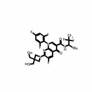 CC(C)(C)C(NC(=O)c1cn(-c2c(F)cc(F)cc2F)c2nc(N3CC(CO)(CO)C3)c(F)cc2c1=O)C(F)(F)C(F)(F)F